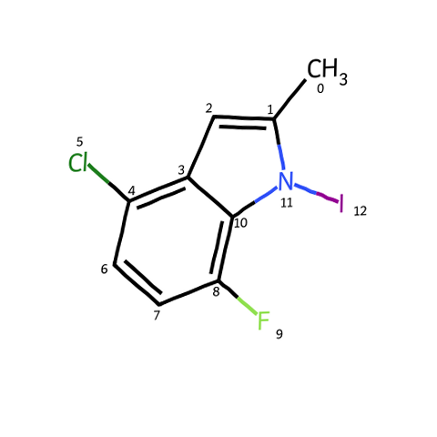 Cc1cc2c(Cl)ccc(F)c2n1I